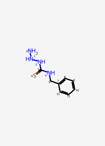 NNNC(=S)NCc1ccccc1